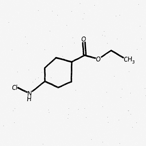 CCOC(=O)C1CCC(NCl)CC1